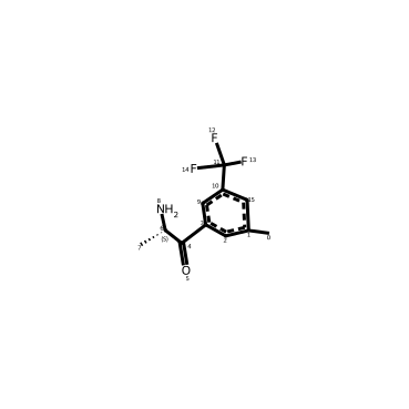 Cc1cc(C(=O)[C@H](C)N)cc(C(F)(F)F)c1